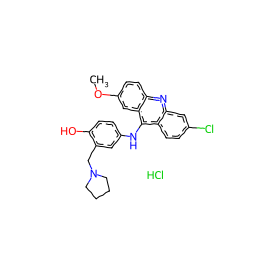 COc1ccc2nc3cc(Cl)ccc3c(Nc3ccc(O)c(CN4CCCC4)c3)c2c1.Cl